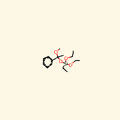 CCO[Si](CC)(OCC)OC(C)(OC)c1ccccc1